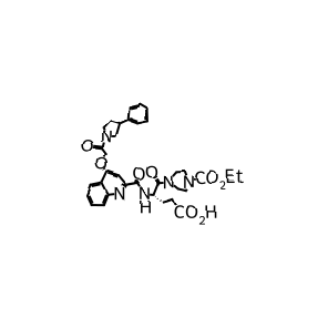 CCOC(=O)N1CCN(C(=O)[C@H](CCC(=O)O)NC(=O)c2cc(OCC(=O)N3CCC(c4ccccc4)C3)c3ccccc3n2)CC1